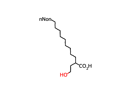 CCCCCCCCCCCCCCCCCCC(CCO)C(=O)O